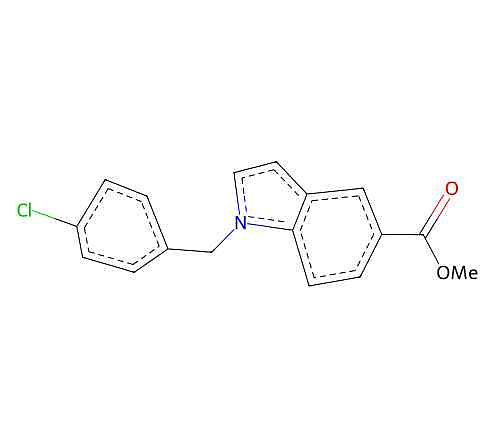 COC(=O)c1ccc2c(ccn2Cc2ccc(Cl)cc2)c1